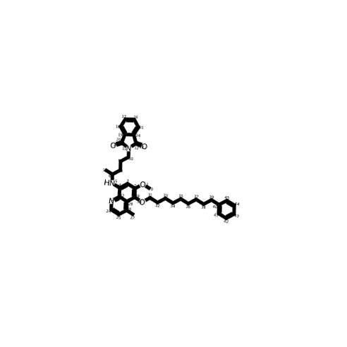 COc1cc(NC(C)CCCN2C(=O)c3ccccc3C2=O)c2nccc(C)c2c1OCCCCCCCCCc1ccccc1